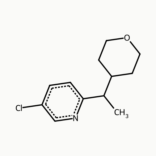 CC(c1ccc(Cl)cn1)C1CCOCC1